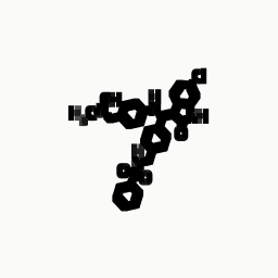 CN(C)Cc1ccc(NC(=C2C(=O)Nc3cc(Cl)ccc32)c2ccc(CNS(=O)(=O)c3ccccc3)cc2)cc1